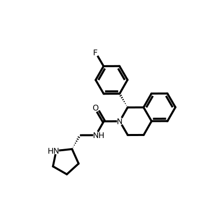 O=C(NC[C@@H]1CCCN1)N1CCc2ccccc2[C@H]1c1ccc(F)cc1